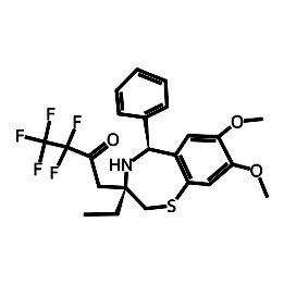 CC[C@]1(CC(=O)C(F)(F)C(F)(F)F)CSc2cc(OC)c(OC)cc2[C@H](c2ccccc2)N1